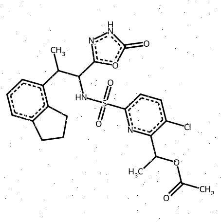 CC(=O)OC(C)c1nc(S(=O)(=O)NC(c2n[nH]c(=O)o2)C(C)c2cccc3c2CCC3)ccc1Cl